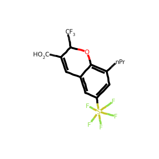 CCCc1cc(S(F)(F)(F)(F)F)cc2c1OC(C(F)(F)F)C(C(=O)O)=C2